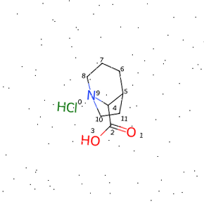 Cl.O=C(O)C1C2CCCN1CC2